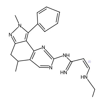 CCN/C=C\C(=N)Nc1ncc2c(n1)-c1c(nn(C)c1-c1ccccc1)CC2C